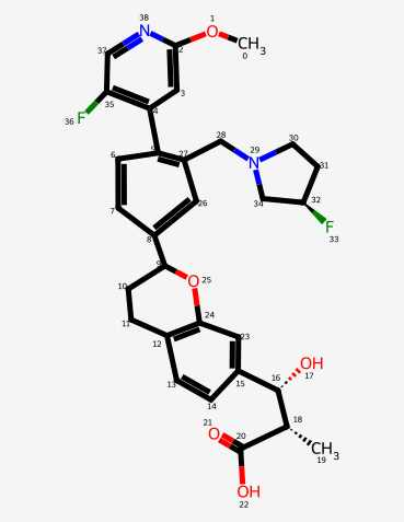 COc1cc(-c2ccc(C3CCc4ccc([C@H](O)[C@H](C)C(=O)O)cc4O3)cc2CN2CC[C@@H](F)C2)c(F)cn1